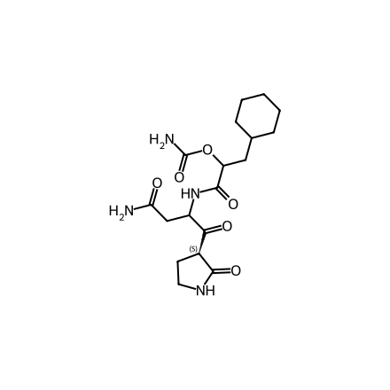 NC(=O)CC(NC(=O)C(CC1CCCCC1)OC(N)=O)C(=O)[C@@H]1CCNC1=O